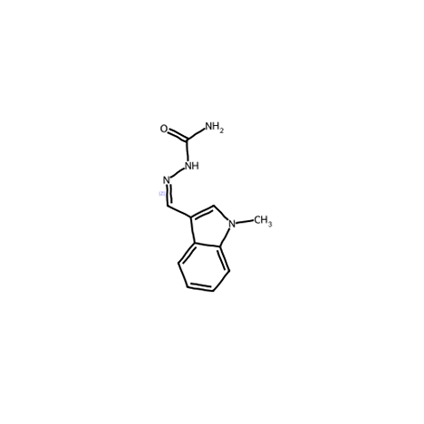 Cn1cc(/C=N\NC(N)=O)c2ccccc21